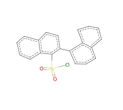 O=S(=O)(Cl)c1c(-c2cccc3ccccc23)ccc2ccccc12